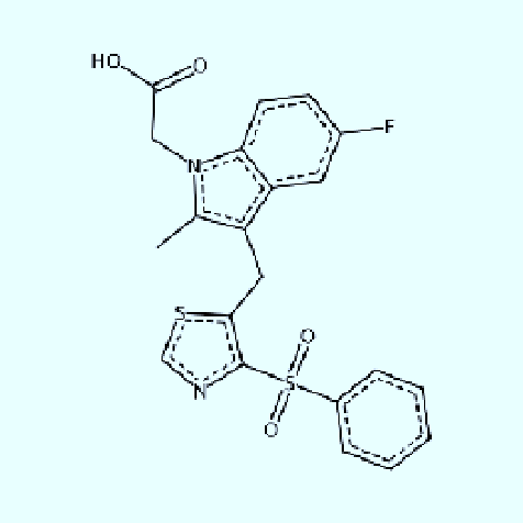 Cc1c(Cc2scnc2S(=O)(=O)c2ccccc2)c2cc(F)ccc2n1CC(=O)O